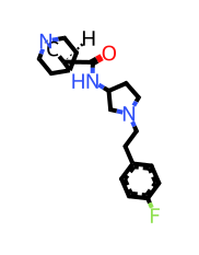 O=C(NC1CCN(CCc2ccc(F)cc2)C1)[C@@H]1CN2CCC1CC2